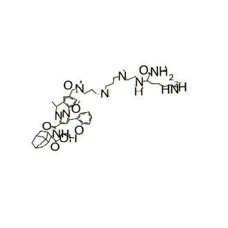 [2H]NCCCCC(NCCN(C)CCCN(C)CCCN(C)C(=O)c1ccc(-n2nc(C(=O)NC3(C(=O)O)C4CC5CC(C4)CC3C5)cc2-c2c(OC)cccc2OC)c(C(C)C)c1)C(N)=O